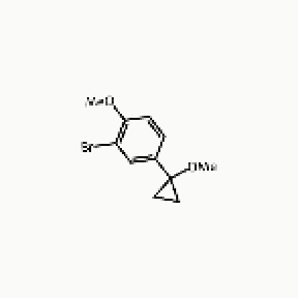 COc1ccc(C2(OC)CC2)cc1Br